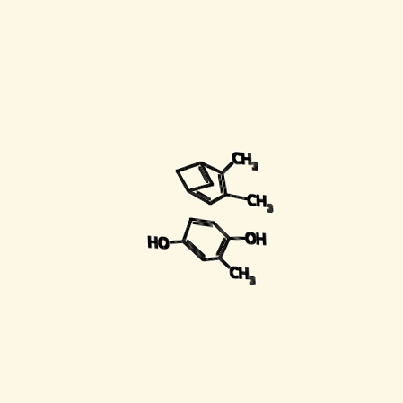 Cc1cc(O)ccc1O.Cc1cc2cc(c1C)C2